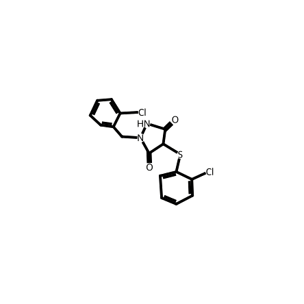 O=C1NN(Cc2ccccc2Cl)C(=O)C1Sc1ccccc1Cl